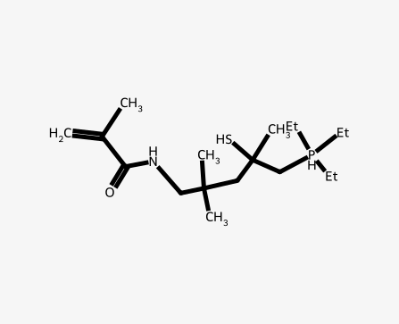 C=C(C)C(=O)NCC(C)(C)CC(C)(S)C[PH](CC)(CC)CC